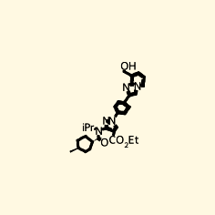 CCOC(=O)c1cn(-c2ccc(-c3cn4cccc(CO)c4n3)cc2)nc1N(C(=O)[C@H]1CC[C@H](C)CC1)C(C)C